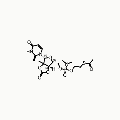 C=C1NC(=O)C=CN1[C@@H]1O[C@H](COP(=O)(OCCSC(C)=O)N(C)C)[C@@H]2OC(=O)OC21C